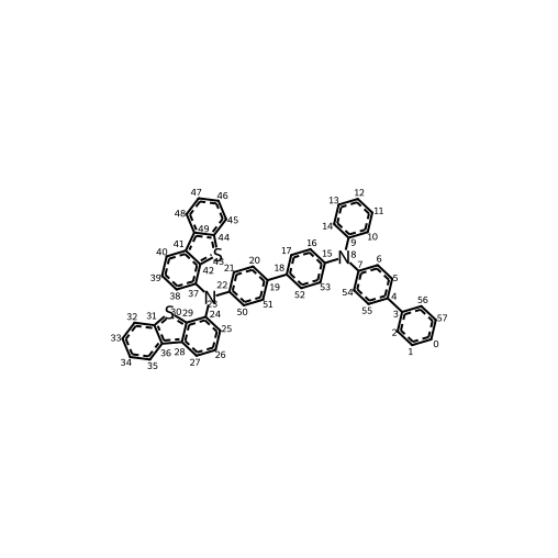 c1ccc(-c2ccc(N(c3ccccc3)c3ccc(-c4ccc(N(c5cccc6c5sc5ccccc56)c5cccc6c5sc5ccccc56)cc4)cc3)cc2)cc1